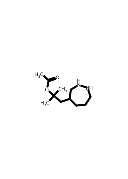 CC(=O)OC(C)(C)CC1CCCNNC1